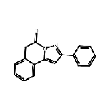 O=C1Cc2ccccc2-c2cc(-c3ccccc3)nn21